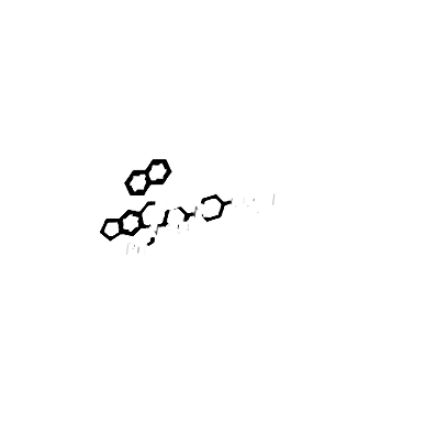 CC(C)(C)CN1C(=O)[C@H](CC(=O)N2CCC(C(=O)O)CC2)O[C@@H](c2cccc3ccccc23)c2cc3c(cc21)CCC3